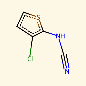 N#CNc1sccc1Cl